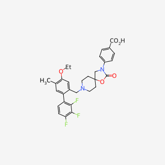 CCOc1cc(CN2CCC3(CC2)CN(c2ccc(C(=O)O)cc2)C(=O)O3)c(-c2ccc(F)c(F)c2F)cc1C